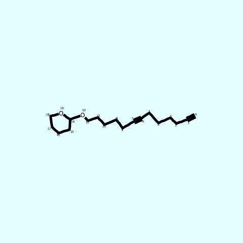 C#CCCCCC#CCCCCCOC1CCCCO1